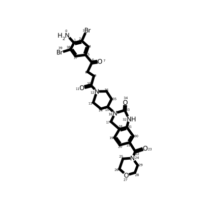 Nc1c(Br)cc(C(=O)CCC(=O)N2CCC(N3Cc4ccc(C(=O)N5CCOCC5)cc4NC3=O)CC2)cc1Br